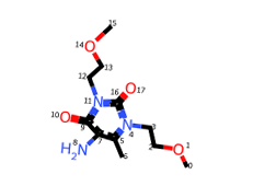 COCCn1c(C)c(N)c(=O)n(CCOC)c1=O